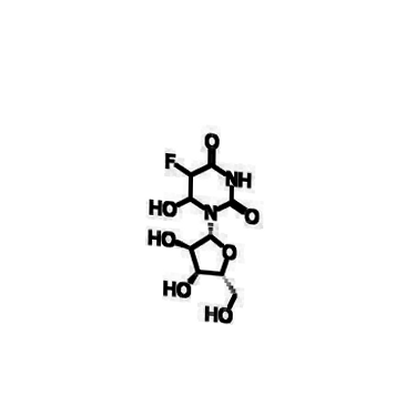 O=C1NC(=O)N([C@@H]2O[C@H](CO)[C@@H](O)[C@H]2O)C(O)C1F